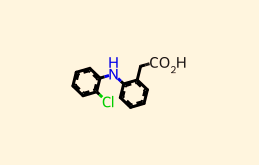 O=C(O)Cc1ccccc1Nc1ccccc1Cl